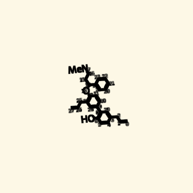 C=CCc1ccc(O)c(-c2ccc(OC(CCNC)c3ccccc3)c(CC=C)c2)c1